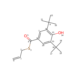 C=CCSC(=O)c1cc(C(C)(C)C)c(O)c(C(C)(C)C)c1